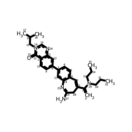 C=C(C1=Cc2ccc(-c3ccc4c(=O)n(CC(C)C)cnc4c3)cc2N=C(N)C1)N(CCC)CCC